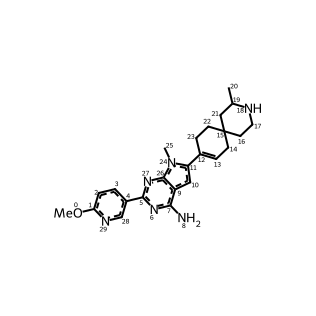 COc1ccc(-c2nc(N)c3cc(C4=CCC5(CCNC(C)C5)CC4)n(C)c3n2)cn1